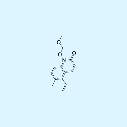 C=Cc1c(C)ccc2c1ccc(=O)n2OCOC